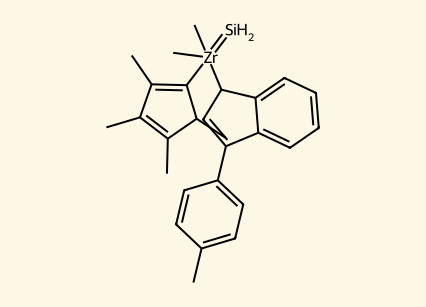 CC1=C(C)C(C)[C]([Zr]([CH3])([CH3])(=[SiH2])[CH]2C=C(c3ccc(C)cc3)c3ccccc32)=C1C